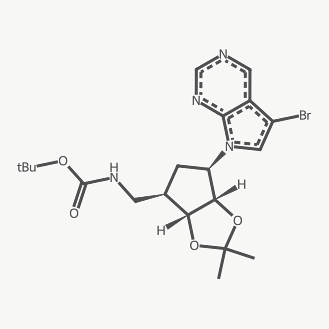 CC(C)(C)OC(=O)NC[C@H]1C[C@@H](n2cc(Br)c3cncnc32)[C@@H]2OC(C)(C)O[C@H]12